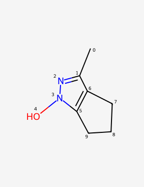 Cc1nn(O)c2c1CCC2